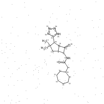 CC1(C)SC2C(NC(=O)CC3CCCCCC3)C(=O)N2C1c1nnn[nH]1